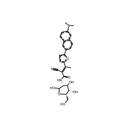 C/C(=C(/C#N)C(=O)N[C@H]1C(O)O[C@H](CO)[C@@H](O)[C@@H]1O)c1ccc(-c2ccc3cc(N(C)C)ccc3c2)o1